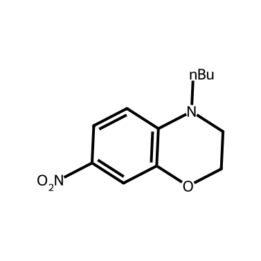 CCCCN1CCOc2cc([N+](=O)[O-])ccc21